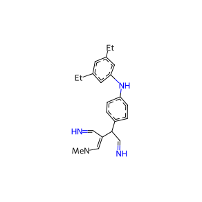 CCc1cc(CC)cc(Nc2ccc(C(C=N)/C(C=N)=C/NC)cc2)c1